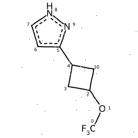 FC(F)(F)OC1CC(c2cc[nH]n2)C1